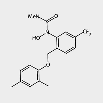 CNC(=O)N(O)c1cc(C(F)(F)F)ccc1COc1ccc(C)cc1C